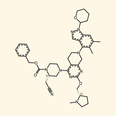 Cc1cc2c(cnn2C2CCCCO2)c(N2CCc3c(nc(OC[C@@H]4CCCN4C)nc3N3CCN(C(=O)OCc4ccccc4)[C@@H](CC#N)C3)C2)c1C